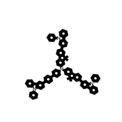 CC1(C)c2cc(-c3ccc4c5ccccc5n(-c5ccccc5)c4c3)ccc2-c2ccc(N(c3ccc(-c4ccc(-c5ccc6c(c5)c5ccccc5n6-c5ccccc5)cc4)cc3)c3ccc4c(c3)C(C)(C)c3cc(-c5ccc6c7ccccc7n(-c7ccccc7)c6c5)ccc3-4)cc21